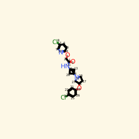 O=C(COc1ccc(Cl)cn1)NC12CC(N3CCC(Oc4ccc(Cl)cc4)C3)(C1)C2